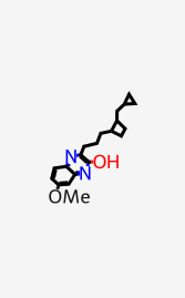 COc1ccc2nc(CCCC3CCC3CC3CC3)c(O)nc2c1